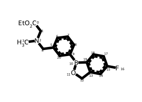 CCOC(=O)CN(C)Cc1cccc(B2OCc3cc(F)ccc32)c1